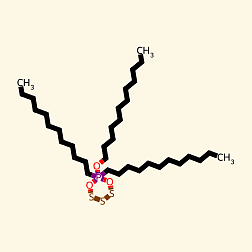 CCCCCCCCCCCCOP1(CCCCCCCCCCCC)(CCCCCCCCCCCC)OSSSO1